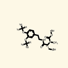 [2H]C([2H])([2H])Oc1ccc(CCNC(=O)[C@@H](CC(C)(C)C)N(C)C(=O)OC(C)(C)C)cc1OC([2H])([2H])[2H]